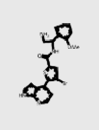 COc1ccccc1C(CN)NC(=O)c1cc(Br)c(-c2ccnc3[nH]ccc23)s1